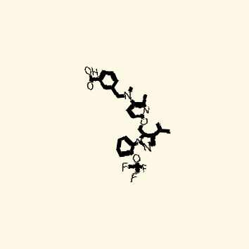 Cc1nc(OCc2c(C(C)C)cnn2-c2ccccc2OC(F)(F)F)ccc1N(C)Cc1cccc(C(=O)O)c1